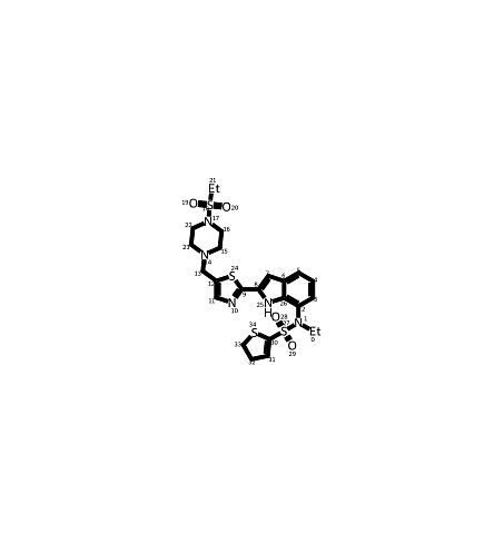 CCN(c1cccc2cc(-c3ncc(CN4CCN(S(=O)(=O)CC)CC4)s3)[nH]c12)S(=O)(=O)C1=CCCS1